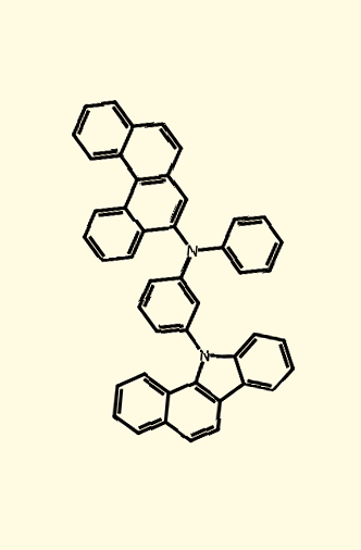 c1ccc(N(c2cccc(-n3c4ccccc4c4ccc5ccccc5c43)c2)c2cc3ccc4ccccc4c3c3ccccc23)cc1